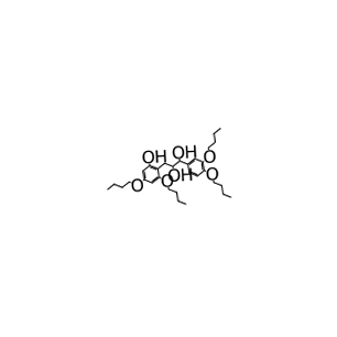 CCCCOc1cc(O)c(CC(O)C(O)c2ccc(OCCCC)c(OCCCC)c2)c(OCCCC)c1